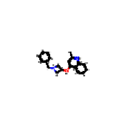 Cc1cc(OC2CN(Cc3ccccc3)C2)c2ccccc2n1